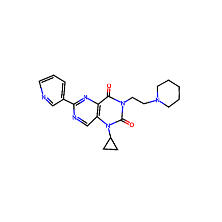 O=c1c2nc(-c3cccnc3)ncc2n(C2CC2)c(=O)n1CCN1CCCCC1